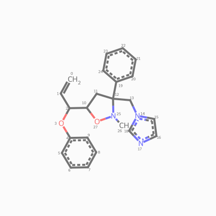 C=CC(Oc1ccccc1)C1CC(Cn2ccnc2)(c2ccccc2)N(C)O1